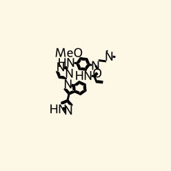 C=CC(=O)Nc1cc(Nc2nccc(-n3cc(-c4cn[nH]c4)c4ccccc43)n2)c(OC)cc1N(C)CCN(C)C